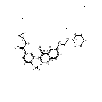 Cc1ccc(C(=O)NC2CC2)cc1-n1ccc2ccc(OCCN3CCCCC3)cc2c1=O